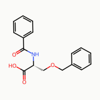 O=C(N[C@H](COCc1ccccc1)C(=O)O)c1ccccc1